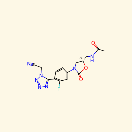 CC(=O)NC[C@H]1CN(c2ccc(-c3nnnn3CC#N)c(F)c2)C(=O)O1